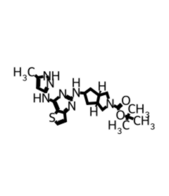 Cc1cc(Nc2nc(NC3C[C@@H]4CN(C(=O)OC(C)(C)C)C[C@@H]4C3)nc3ccsc23)n[nH]1